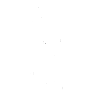 O=[N+]([O-])c1cccc(Nc2nccc(-c3cc(Cl)sc3Cl)n2)c1